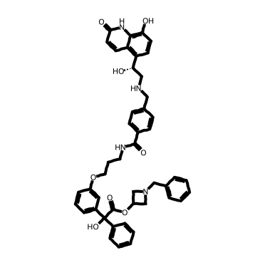 O=C(NCCCOc1cccc(C(O)(C(=O)OC2CN(Cc3ccccc3)C2)c2ccccc2)c1)c1ccc(CNC[C@H](O)c2ccc(O)c3[nH]c(=O)ccc23)cc1